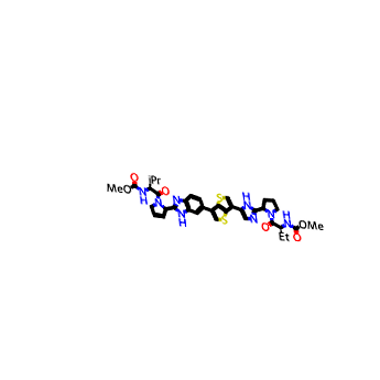 CC[C@@H](NC(=O)OC)C(=O)N1CCCC1c1ncc(-c2csc3c(-c4ccc5nc(C6C=CCN6C(=O)[C@@H](NC(=O)OC)C(C)C)[nH]c5c4)csc23)[nH]1